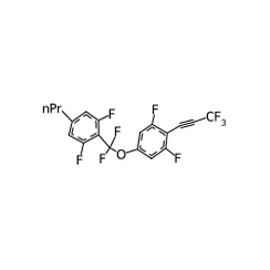 CCCc1cc(F)c(C(F)(F)Oc2cc(F)c(C#CC(F)(F)F)c(F)c2)c(F)c1